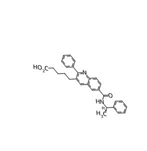 C[C@@H](NC(=O)c1ccc2nc(-c3ccccc3)c(CCCCC(=O)O)cc2c1)c1ccccc1